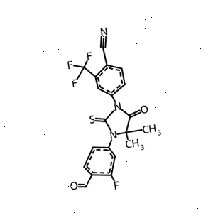 CC1(C)C(=O)N(c2ccc(C#N)c(C(F)(F)F)c2)C(=S)N1c1ccc(C=O)c(F)c1